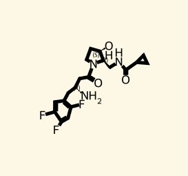 N[C@@H](CC(=O)N1CC[C@H](O)[C@H]1CNC(=O)C1CC1)Cc1cc(F)c(F)cc1F